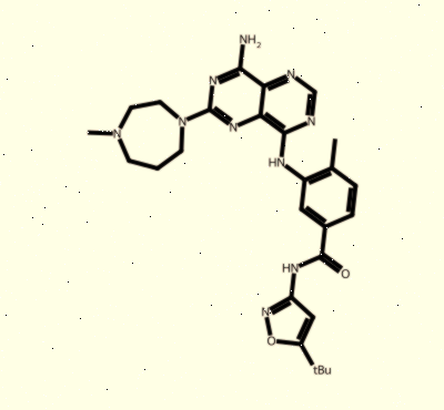 Cc1ccc(C(=O)Nc2cc(C(C)(C)C)on2)cc1Nc1ncnc2c(N)nc(N3CCCN(C)CC3)nc12